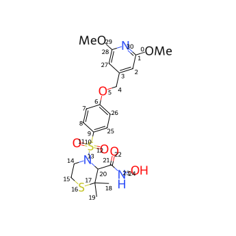 COc1cc(COc2ccc(S(=O)(=O)N3CCSC(C)(C)C3C(=O)NO)cc2)cc(OC)n1